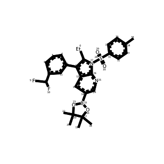 CCc1c(-c2cccc(C(F)F)c2)c2cc(B3OC(C)(C)C(C)(C)O3)cnc2n1S(=O)(=O)c1ccc(C)cc1